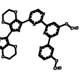 O=COc1ccnc(-c2cc(OC=O)cc(-c3nccc(-c4sc(-c5scc6c5OCCO6)c5c4OCCO5)n3)n2)c1